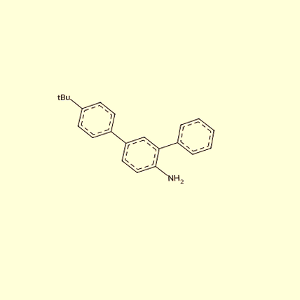 CC(C)(C)c1ccc(-c2ccc(N)c(-c3ccccc3)c2)cc1